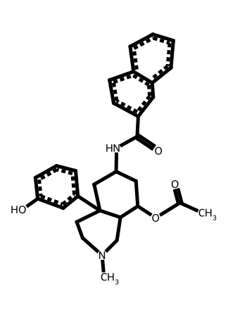 CC(=O)OC1CC(NC(=O)c2ccc3ccccc3c2)CC2(c3cccc(O)c3)CCN(C)CC12